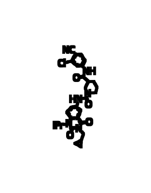 CC(C)n1c(=O)n(CC2CC2)c(=O)c2cc(NC(=O)N3CCCC(C(=O)Nc4ccc(C#N)c(Cl)c4)C3)ccc21